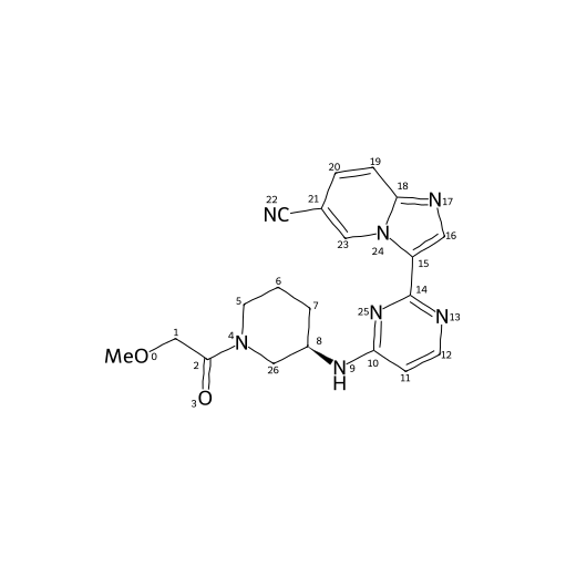 COCC(=O)N1CCC[C@@H](Nc2ccnc(-c3cnc4ccc(C#N)cn34)n2)C1